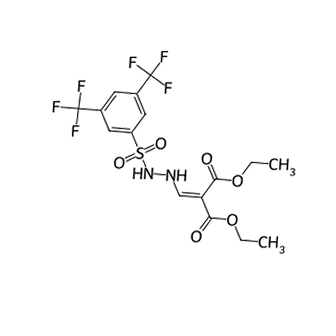 CCOC(=O)C(=CNNS(=O)(=O)c1cc(C(F)(F)F)cc(C(F)(F)F)c1)C(=O)OCC